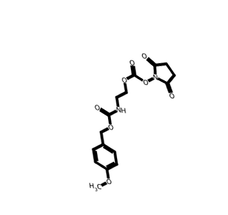 COc1ccc(COC(=O)NCCOC(=O)ON2C(=O)CCC2=O)cc1